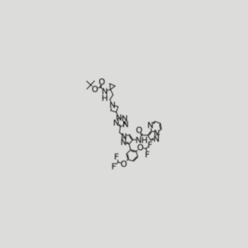 CC(C)(C)OC(=O)NC1(CCN2CC(n3nnc(Cn4cc(NC(=O)c5cnn6cccnc56)c(-c5cc(OC(F)F)ccc5OC(F)F)n4)n3)C2)CC1